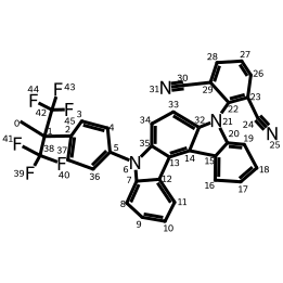 CC(c1ccc(-n2c3ccccc3c3c4c5ccccc5n(-c5c(C#N)cccc5C#N)c4ccc32)cc1)(C(F)(F)F)C(F)(F)F